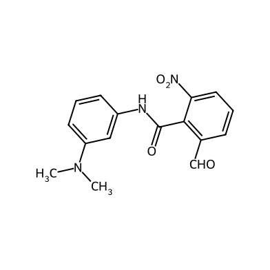 CN(C)c1cccc(NC(=O)c2c(C=O)cccc2[N+](=O)[O-])c1